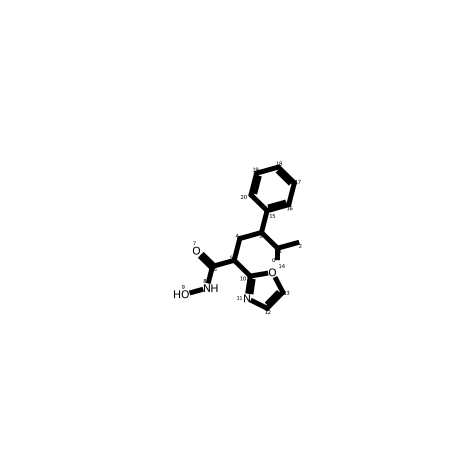 CC(C)C(CC(C(=O)NO)c1ncco1)c1ccccc1